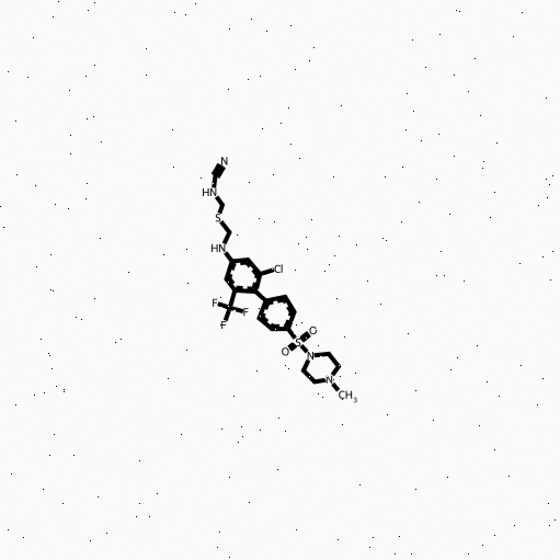 CN1CCN(S(=O)(=O)c2ccc(-c3c(Cl)cc(NCSCNC#N)cc3C(F)(F)F)cc2)CC1